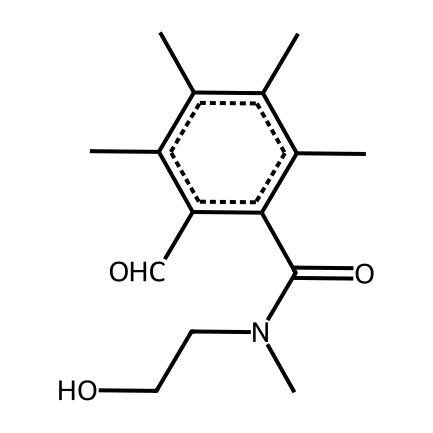 Cc1c(C)c(C)c(C(=O)N(C)CCO)c(C=O)c1C